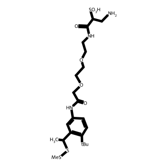 CSSC(C)c1cc(NC(=O)COCCOCCNC(=O)C(CN)S(=O)(=O)O)ccc1C(C)(C)C